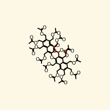 CC(=O)OCc1c(COC(C)=O)c(COC(C)=O)c2c(COC(C)=O)c(Oc3c(COC(C)=O)c(COC(C)=O)c4c(COC(C)=O)c(COC(C)=O)c(COC(C)=O)c(COC(C)=O)c4c3COC(C)=O)c(COC(C)=O)c(COC(C)=O)c2c1COC(C)=O